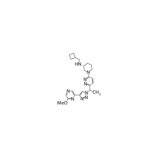 COc1cncc(-c2cn(C(C)c3ccc(N4CCC[C@@H](NCC5CCC5)C4)nn3)nn2)n1